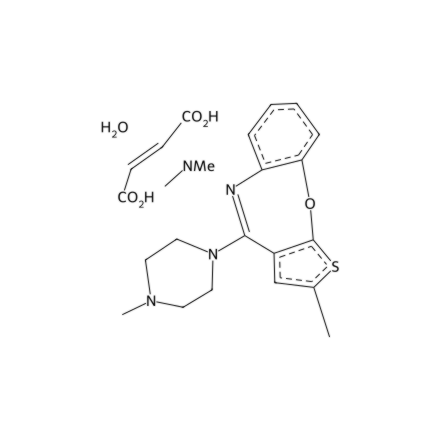 CNC.Cc1cc2c(s1)Oc1ccccc1N=C2N1CCN(C)CC1.O.O=C(O)C=CC(=O)O